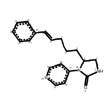 O=C1NCC(CCCC=Cc2ccccc2)N1c1ccncc1